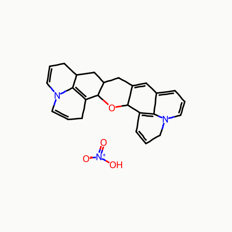 C1=CN2CC=CC3=C2C(=C1)C=C1CC2CC4CC=CN5C=CCC(=C45)C2OC13.O=[N+]([O-])O